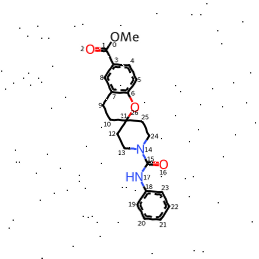 COC(=O)c1ccc2c(c1)CCC1(CCN(C(=O)Nc3ccccc3)CC1)O2